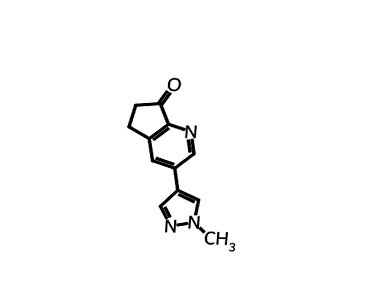 Cn1cc(-c2cnc3c(c2)CCC3=O)cn1